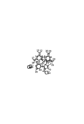 CC1=C(C)[C]([Ti+3])(C[SiH](c2cc(C(C)C)cc(C(C)C)c2)c2cc(C(C)C)cc(C(C)C)c2)C(c2cc(C)cc(C)c2)=C1C.[Cl-].[Cl-].[Cl-]